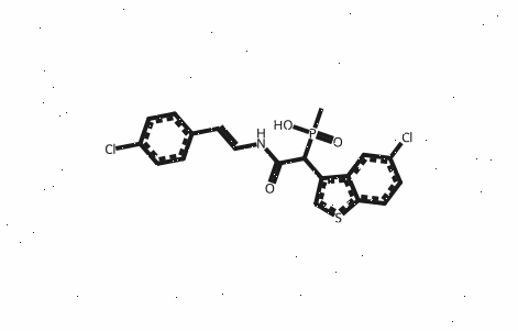 CP(=O)(O)C(C(=O)N/C=C/c1ccc(Cl)cc1)c1csc2ccc(Cl)cc12